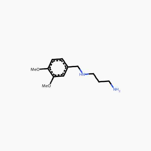 COc1ccc(CNCCCN)cc1OC